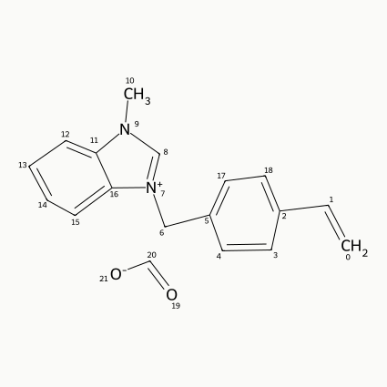 C=Cc1ccc(C[n+]2cn(C)c3ccccc32)cc1.O=C[O-]